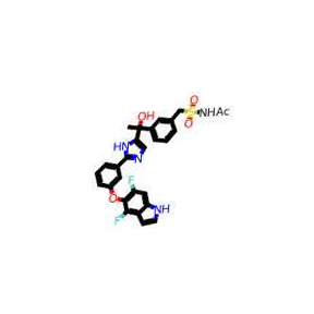 CC(=O)NS(=O)(=O)Cc1cccc(C(C)(O)c2cnc(-c3cccc(Oc4c(F)cc5[nH]ccc5c4F)c3)[nH]2)c1